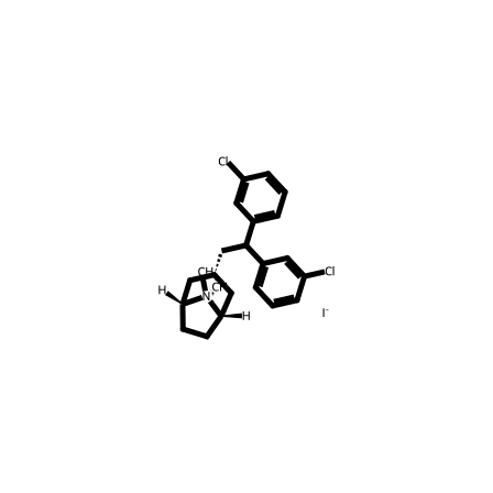 C[N+]1(C)[C@@H]2CC[C@H]1C[C@@H](CC(c1cccc(Cl)c1)c1cccc(Cl)c1)C2.[I-]